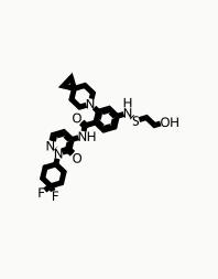 O=C(Nc1ccnn(C2CCC(F)(F)CC2)c1=O)c1ccc(NSCCO)cc1N1CCC2(CC1)CC2